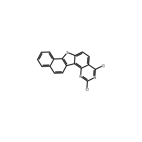 Clc1nc(Cl)c2ccc3sc4c5ccccc5ccc4c3c2n1